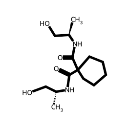 C[C@H](CO)NC(=O)C1(C(=O)N[C@H](C)CO)CCCCC1